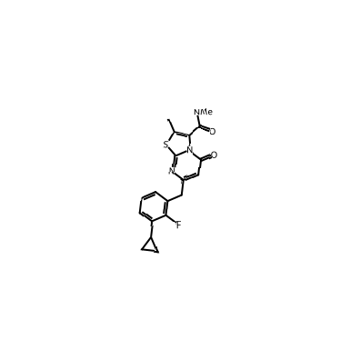 CNC(=O)c1c(C)sc2nc(Cc3cccc(C4CC4)c3F)cc(=O)n12